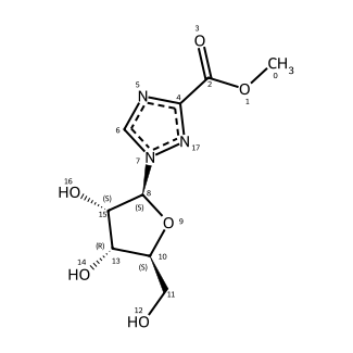 COC(=O)c1ncn([C@H]2O[C@@H](CO)[C@H](O)[C@@H]2O)n1